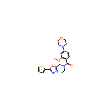 CCN(Cc1nnc(-c2cccs2)o1)C(=O)c1ccc(N2CCOCC2)cc1OC